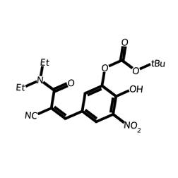 CCN(CC)C(=O)C(C#N)=Cc1cc(OC(=O)OC(C)(C)C)c(O)c([N+](=O)[O-])c1